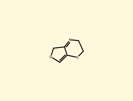 C1=C2SCCN=C2CO1